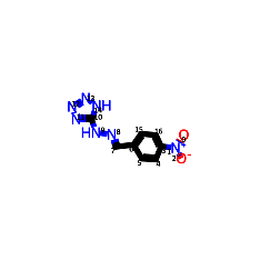 O=[N+]([O-])c1ccc(C=NNc2nnn[nH]2)cc1